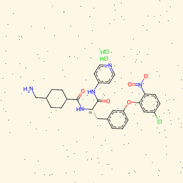 Cl.Cl.NCC1CCC(C(=O)N[C@@H](Cc2cccc(Oc3cc(Cl)ccc3[N+](=O)[O-])c2)C(=O)Nc2ccncc2)CC1